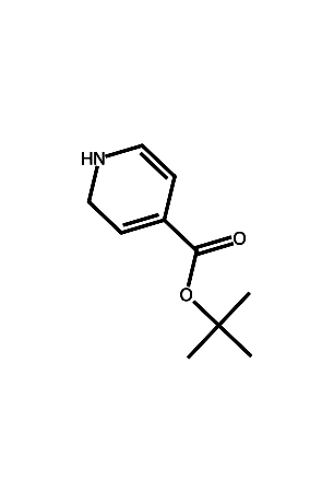 CC(C)(C)OC(=O)C1=CCNC=C1